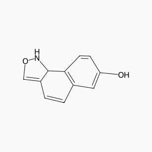 Oc1ccc2c(c1)C=CC1=CONC12